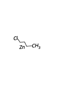 CCCCCl.[Zn]